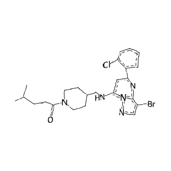 CC(C)CCC(=O)N1CCC(CNc2cc(-c3ccccc3Cl)nc3c(Br)cnn23)CC1